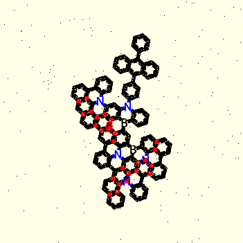 c1ccc(-c2cccc(-c3cccc(-c4cccc(-c5ccccc5)c4)c3N3c4cc5c(cc4B4c6ccccc6N(c6ccccc6-c6ccccc6)c6cc(N(c7ccccc7)c7ccccc7-c7ccccc7)cc3c64)B3c4ccccc4N(c4ccc(-c6c7ccccc7c(-c7ccccc7)c7ccccc67)cc4)c4cc(N(c6ccccc6-c6ccccc6)c6ccccc6-c6ccccc6)cc(c43)O5)c2)cc1